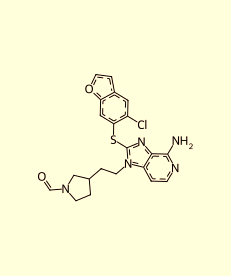 Nc1nccc2c1nc(Sc1cc3occc3cc1Cl)n2CCC1CCN(C=O)C1